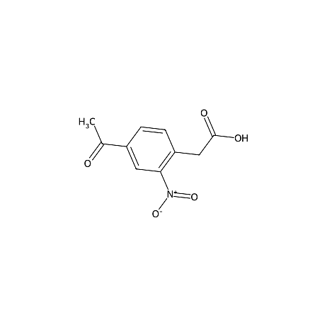 CC(=O)c1ccc(CC(=O)O)c([N+](=O)[O-])c1